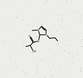 CCCN1C=CN(C)C1OC(=O)C(C)O